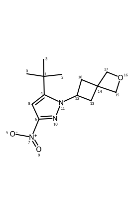 CC(C)(C)c1cc([N+](=O)[O-])nn1C1CC2(COC2)C1